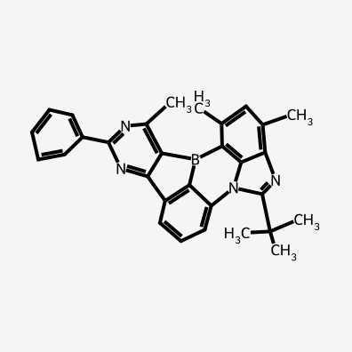 Cc1cc(C)c2nc(C(C)(C)C)n3c2c1B1c2c(cccc2-3)-c2nc(-c3ccccc3)nc(C)c21